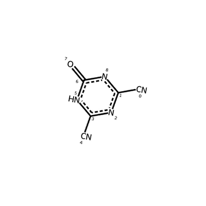 N#Cc1nc(C#N)[nH]c(=O)n1